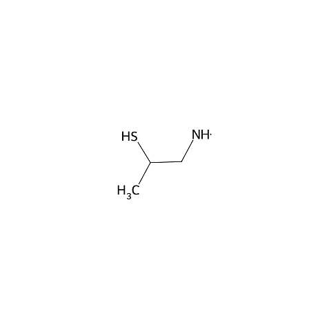 CC(S)C[NH]